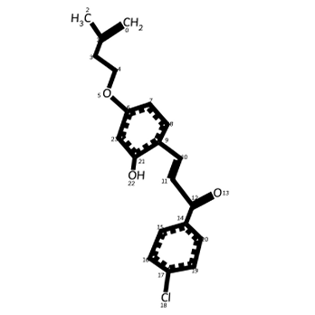 C=C(C)CCOc1ccc(/C=C/C(=O)c2ccc(Cl)cc2)c(O)c1